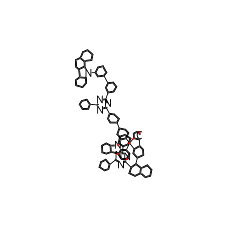 c1ccc(-c2nc(-c3ccc(-c4ccc5c(c4)-n4c6ccccc6c6cccc(c64)C54c5ccccc5-c5ccc(-c6c(-c7nc(-c8ccccc8)nc(-c8ccccc8)n7)ccc7ccccc67)cc54)cc3)nc(-c3cccc(-c4cccc(-n5c6ccccc6c6ccc7ccccc7c65)c4)c3)n2)cc1